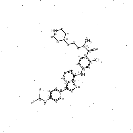 Cc1cc(Nc2nccn3c(-c4ccc(OC(F)F)cc4)cnc23)ccc1C(=O)N(C)CCCN1CCNCC1